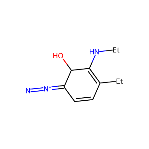 CCNC1=C(CC)C=CC(=[N+]=[N-])C1O